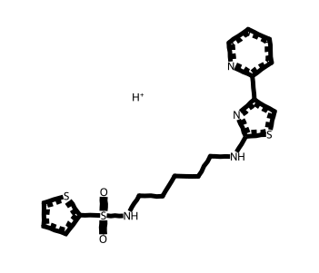 O=S(=O)(NCCCCCNc1nc(-c2ccccn2)cs1)c1cccs1.[H+]